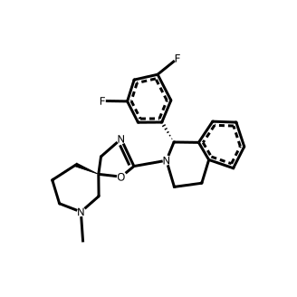 CN1CCC[C@]2(CN=C(N3CCc4ccccc4[C@H]3c3cc(F)cc(F)c3)O2)C1